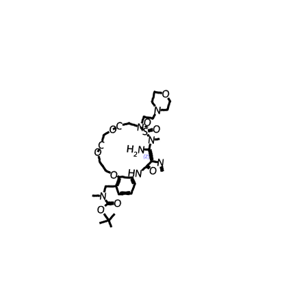 C=N/C1=C(/N)N(C)S(=O)(=O)N(CCN2CCOCC2)CCOCCOCCOc2c(CN(C)C(=O)OC(C)(C)C)cccc2NC1=O